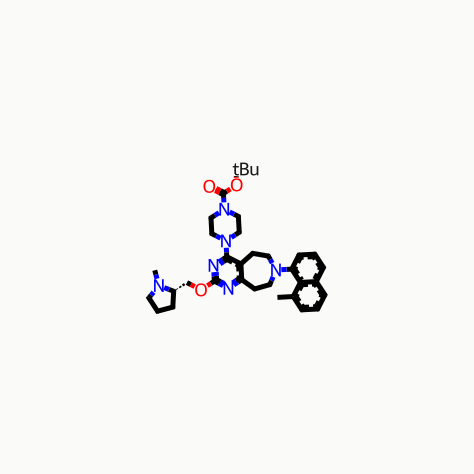 Cc1cccc2cccc(N3CCc4nc(OC[C@@H]5CCCN5C)nc(N5CCN(C(=O)OC(C)(C)C)CC5)c4CC3)c12